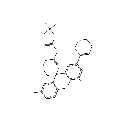 CC(C)(C)OC(=O)NC1=N[C@@]2(COC1)c1cc(O)ccc1Oc1c(F)cc(C3=CCCOC3)cc12